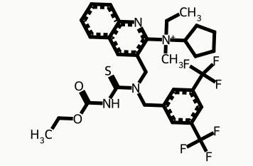 CCOC(=O)NC(=S)N(Cc1cc(C(F)(F)F)cc(C(F)(F)F)c1)Cc1cc2ccccc2nc1[N+](C)(CC)C1CCCC1